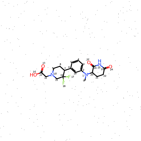 CN(c1cccc(C2CCN(CC(=O)O)CC2(F)F)c1)C1CCC(=O)NC1=O